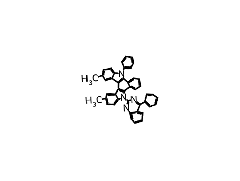 Cc1ccc2c(c1)c1c3c4cc(C)ccc4n(-c4nc(-c5ccccc5)c5ccccc5n4)c3c3ccccc3c1n2-c1ccccc1